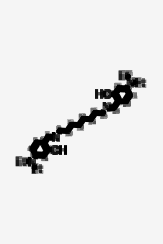 CCN(CC)c1ccc(C=NCCCCCCCCN=Cc2ccc(N(CC)CC)cc2O)c(O)c1